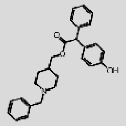 O=C(OCC1CCN(Cc2ccccc2)CC1)C(c1ccccc1)c1ccc(O)cc1